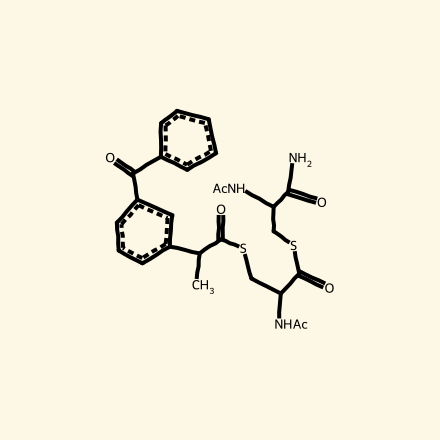 CC(=O)NC(CSC(=O)C(CSC(=O)C(C)c1cccc(C(=O)c2ccccc2)c1)NC(C)=O)C(N)=O